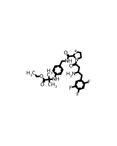 CCOC(=O)C(C)(C)Nc1ccc(CNC(=O)C2SCCN2C(=O)CC(N)Cc2cc(F)c(F)cc2F)cc1